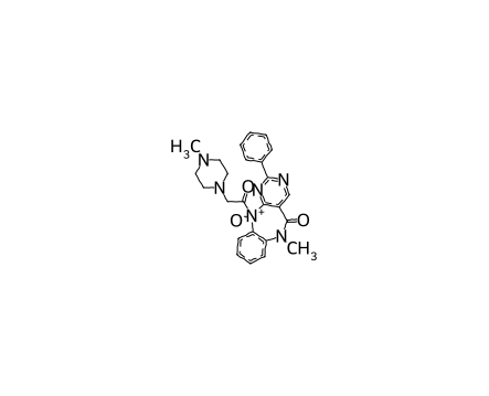 CN1CCN(CC(=O)[N+]2([O-])c3ccccc3N(C)C(=O)c3cnc(-c4ccccc4)nc32)CC1